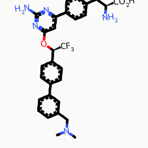 CN(C)Cc1cccc(-c2ccc([C@@H](Oc3cc(-c4ccc(C[C@H](N)C(=O)O)cc4)nc(N)n3)C(F)(F)F)cc2)c1